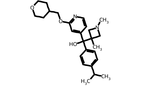 CC(C)c1ccc(C(O)(c2ccnc(OCC3CCOCC3)c2)C2(C)CN(C)C2)cc1